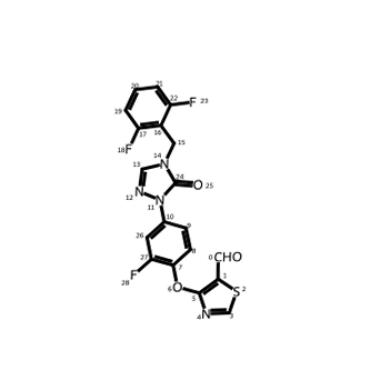 O=Cc1scnc1Oc1ccc(-n2ncn(Cc3c(F)cccc3F)c2=O)cc1F